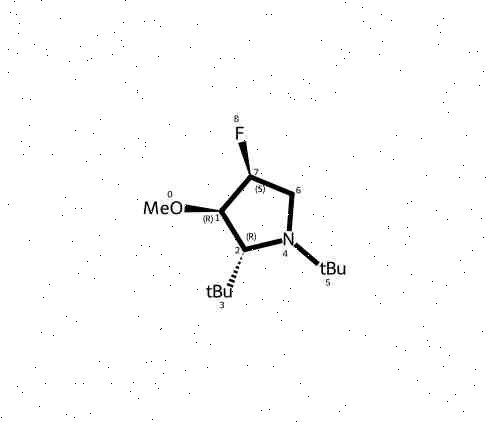 CO[C@@H]1[C@@H](C(C)(C)C)N(C(C)(C)C)C[C@@H]1F